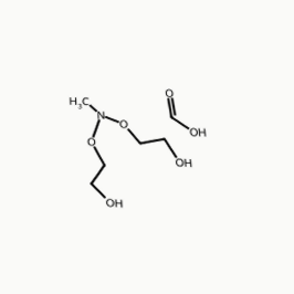 CN(OCCO)OCCO.O=CO